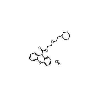 O=C(OCCOCCN1CCCCC1)N1c2ccccc2Sc2cccnc21.[Cl-].[H+]